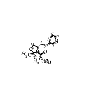 CC(C)(C)OC(=O)N1[C@@H](CSc2cnccn2)COC1(C)C